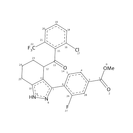 COC(=O)c1ccc(-c2n[nH]c3c2C(C(=O)c2c(Cl)cccc2C(F)(F)F)CCC3)c(F)c1